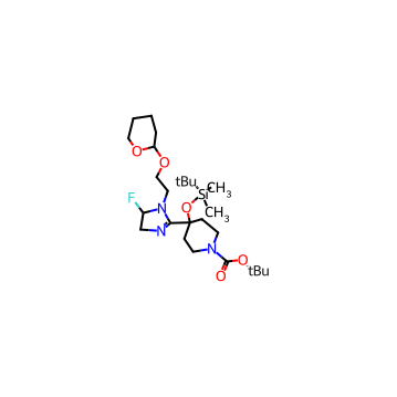 CC(C)(C)OC(=O)N1CCC(O[Si](C)(C)C(C)(C)C)(C2=NCC(F)N2CCOC2CCCCO2)CC1